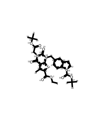 CCOC(=O)c1sc2c(c1C)c(=O)n(CC(=O)OC(C)(C)C)c(=O)n2Cc1ccc2c(ccn2C(=O)OC(C)(C)C)c1